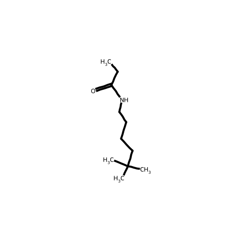 CCC(=O)NCCCCC(C)(C)C